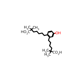 CC(C)(CCCCCc1ccc(O)cc1CCCCC(C)(C)C(=O)O)C(=O)O